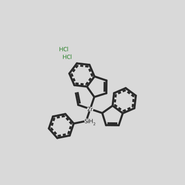 C=[CH][Zr]([SiH2]c1ccccc1)([CH]1C=Cc2ccccc21)[CH]1C=Cc2ccccc21.Cl.Cl